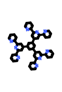 c1ccc(-c2cc(-c3cc(-c4cc(-c5ccccn5)nc(-c5ccccn5)c4)cc(-c4cc(-c5ccccn5)nc(-c5ccccn5)c4)c3)cc(-c3ccccn3)n2)nc1